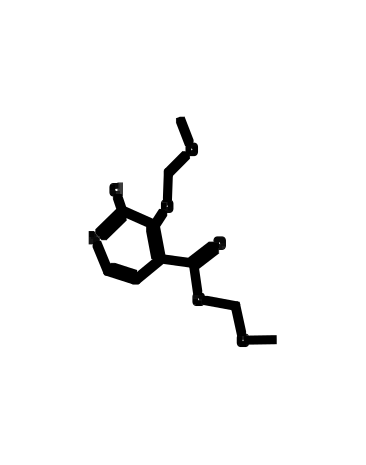 COCOC(=O)c1ccnc(Cl)c1OCOC